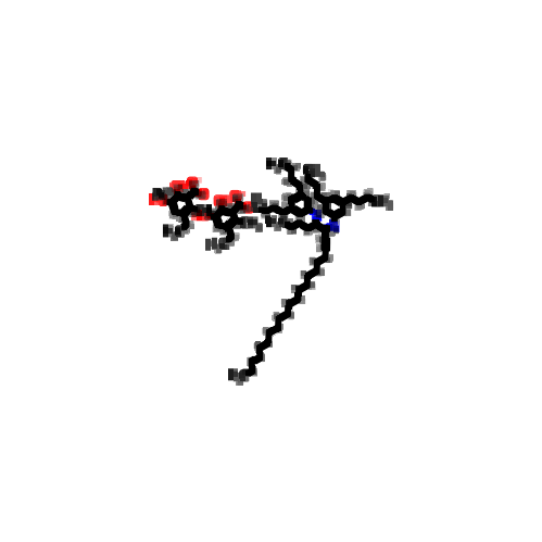 CCCCCCCCCCCCCCCCCCC#CC(=Nc1cc(CCCC)cc(CCCC)c1)C(CCCC)=Nc1cc(CCCC)cc(CCCC)c1.CCc1cc(O)c(O)c(C(=O)[O-])c1C.CCc1cc(O)c(O)c(C(=O)[O-])c1C.[Pd+2]